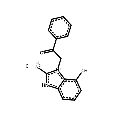 Cc1cccc2[nH]c(N)[n+](CC(=O)c3ccccc3)c12.[Cl-]